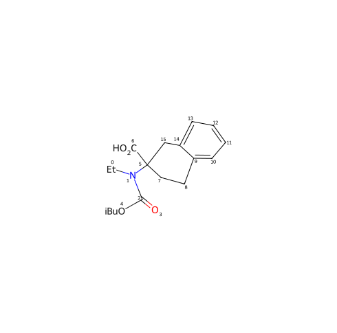 CCN(C(=O)OCC(C)C)C1(C(=O)O)CCc2ccccc2C1